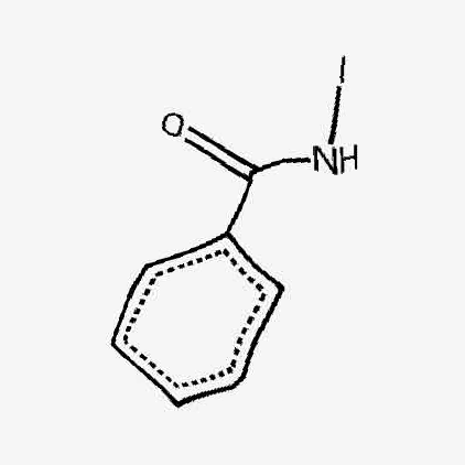 O=C(NI)c1ccccc1